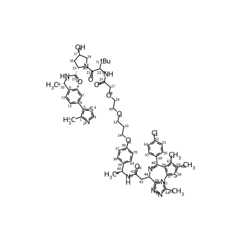 Cc1ncsc1-c1ccc([C@H](C)NC(=O)[C@@H]2C[C@@H](O)CN2C(=O)C(NC(=O)COCCOCCCOc2ccc([C@H](C)NC(=O)CC3N=C(c4ccc(Cl)cc4)c4c(sc(C)c4C)-n4c(C)nnc43)cc2)C(C)(C)C)cc1